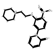 O=c1ccccn1-c1ccc([N+](=O)[O-])c(OCCN2CCCCC2)c1